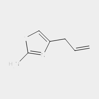 C=CCc1csc(N)n1